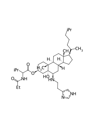 CCC(=O)NC(C(=O)O[C@H]1CC[C@]2(C)[C@H]3CC[C@]4(C)[C@@H](C(C)CCCC(C)C)CC[C@H]4[C@@H]3C[C@@H](NCCc3c[nH]cn3)[C@@]2(O)C1)C(C)C